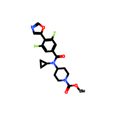 CC(C)(C)OC(=O)N1CCC(N(C(=O)c2cc(F)c(-c3cnco3)c(F)c2)C2CC2)CC1